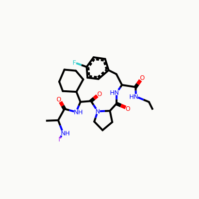 CCNC(=O)C(Cc1ccc(F)cc1)NC(=O)C1CCCN1C(=O)C(NC(=O)C(C)NI)C1CCCCC1